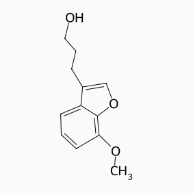 COc1cccc2c(CCCO)coc12